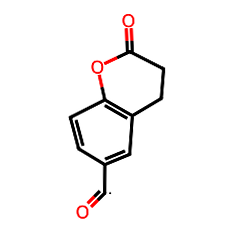 O=[C]c1ccc2c(c1)CCC(=O)O2